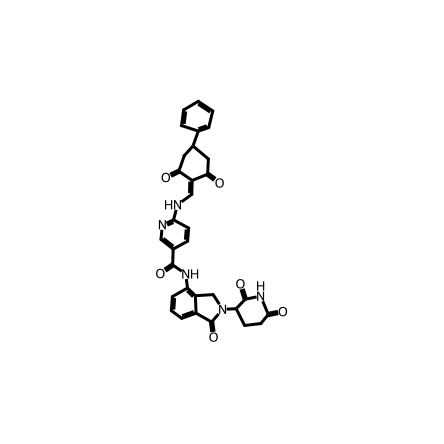 O=C1CCC(N2Cc3c(NC(=O)c4ccc(NC=C5C(=O)CC(c6ccccc6)CC5=O)nc4)cccc3C2=O)C(=O)N1